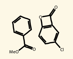 COC(=O)c1ccccc1.O=C1Oc2ccc(Cl)cc21